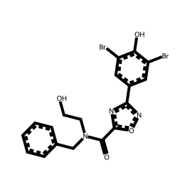 O=C(c1nc(-c2cc(Br)c(O)c(Br)c2)no1)N(CCO)Cc1ccccc1